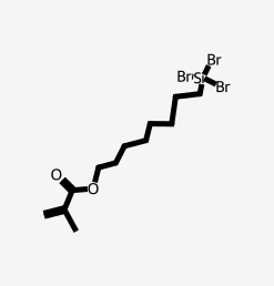 C=C(C)C(=O)OCCCCCCCC[Si](Br)(Br)Br